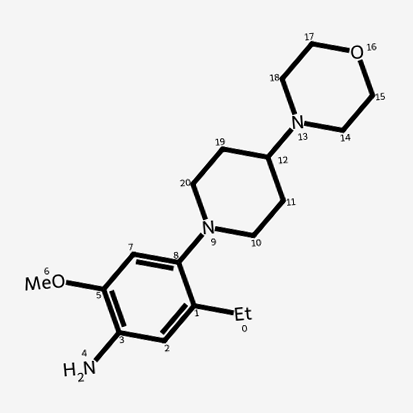 CCc1cc(N)c(OC)cc1N1CCC(N2CCOCC2)CC1